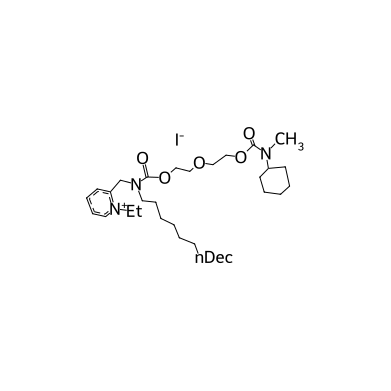 CCCCCCCCCCCCCCCCN(Cc1cccc[n+]1CC)C(=O)OCCOCCOC(=O)N(C)C1CCCCC1.[I-]